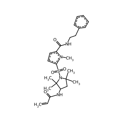 C=CC(=O)NC1CC(C)(C)N(S(=O)(=O)c2ccc(C(=O)NCCc3ccccc3)n2C)C1(C)C